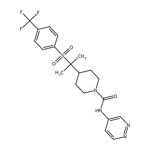 CC(C)(C1CCN(C(=O)Nc2ccnnc2)CC1)S(=O)(=O)c1ccc(C(F)(F)F)cc1